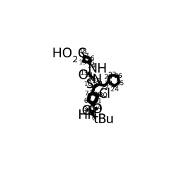 CC(C)(C)NS(=O)(=O)c1ccc(-c2sc(C(=O)N[C@H]3C[C@H](C(=O)O)C3)nc2CC2CCCCC2)c(Cl)c1